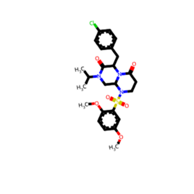 COc1ccc(OC)c(S(=O)(=O)N2CCC(=O)N3C(Cc4ccc(Cl)cc4)C(=O)N(C(C)C)CC32)c1